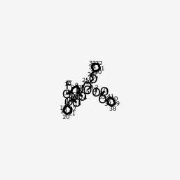 O=C(OC[C@@H]1O[C@H](n2cc(F)c(=O)n(C(=O)Oc3ccccc3)c2=O)CC1OCc1ccccc1)Oc1ccccc1